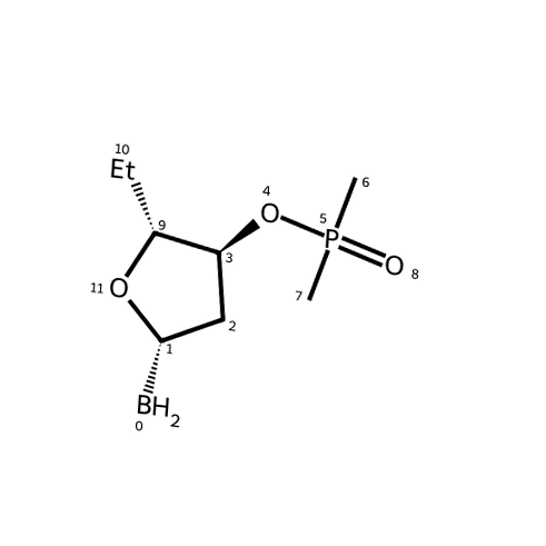 B[C@H]1C[C@H](OP(C)(C)=O)[C@@H](CC)O1